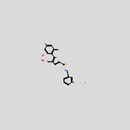 COc1cccc(CNC(=O)c2cc3c(s2)-c2c(C)cc(C)cc2S(=O)(=O)C3)c1